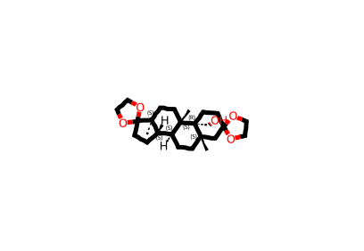 C[C@@]12CC[C@H]3[C@@H]4CCC5(OCCO5)[C@@]4(C)CC[C@]3(C)[C@@]1(CO)CCC1(C2)OCCO1